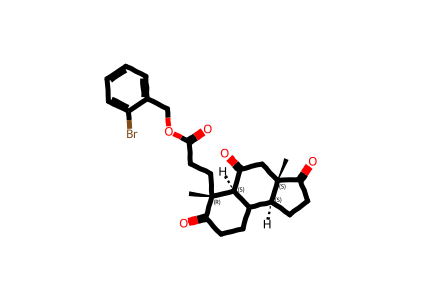 C[C@]1(CCC(=O)OCc2ccccc2Br)C(=O)CCC2[C@@H]1C(=O)C[C@]1(C)C(=O)CC[C@@H]21